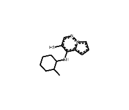 CC1CCCCC1Nc1c(S)cnn2cccc12